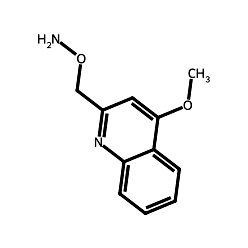 COc1cc(CON)nc2ccccc12